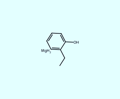 CCc1ccccc1O.[MgH2]